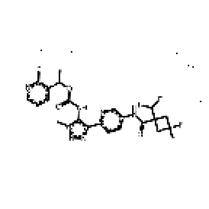 C[C@@H](OC(=O)Nc1c(-c2ccc(NC(=O)C3(C(F)F)CC(F)(F)C3)cn2)nnn1C)c1cccnc1Cl